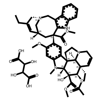 CCC1=C[C@@H]2C[N@](C1)Cc1c([nH]c3ccccc13)[C@@](C(=O)OC)(c1cc3c(cc1OC)N(C)[C@H]1[C@@](O)(C(=O)OC)[C@H](OC(C)=O)[C@]4(CC)C=CCN5CC[C@]31[C@@H]54)C2.O=C(O)C(O)C(O)C(=O)O